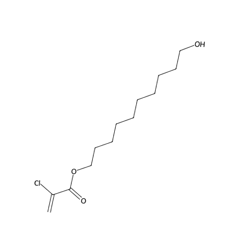 C=C(Cl)C(=O)OCCCCCCCCCCO